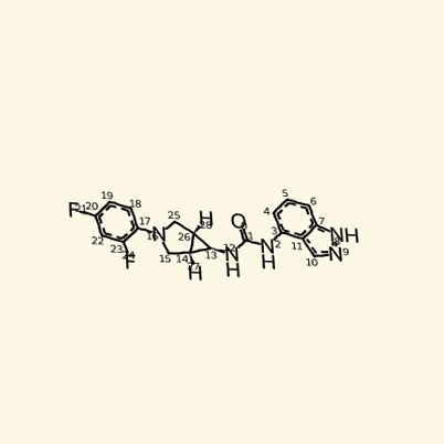 O=C(Nc1cccc2[nH]ncc12)N[C@H]1[C@@H]2CN(c3ccc(F)cc3F)C[C@@H]21